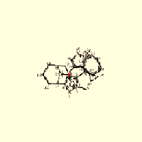 Cn1nc2c(c1-c1ccccc1)CC1CCCC2N1C(=O)c1cnn(C)c1C1CC1